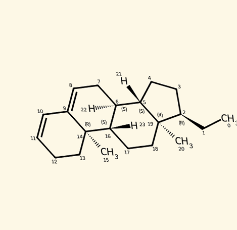 CC[C@@H]1CC[C@H]2[C@@H]3CC=C4C=CCC[C@]4(C)[C@H]3CC[C@]12C